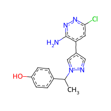 CC(c1ccc(O)cc1)n1cc(-c2cc(Cl)nnc2N)cn1